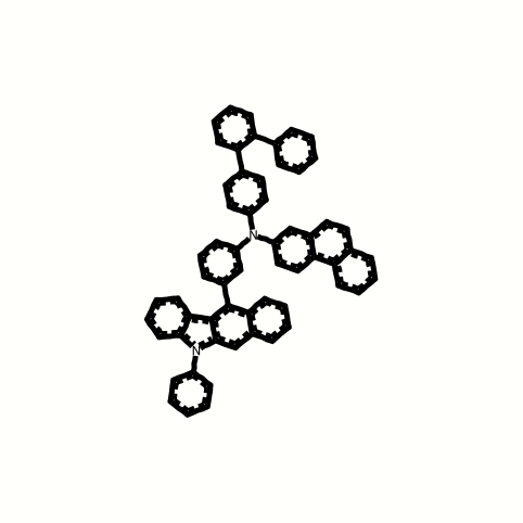 c1ccc(-c2ccccc2-c2ccc(N(c3cccc(-c4c5ccccc5cc5c4c4ccccc4n5-c4ccccc4)c3)c3ccc4c(ccc5ccccc54)c3)cc2)cc1